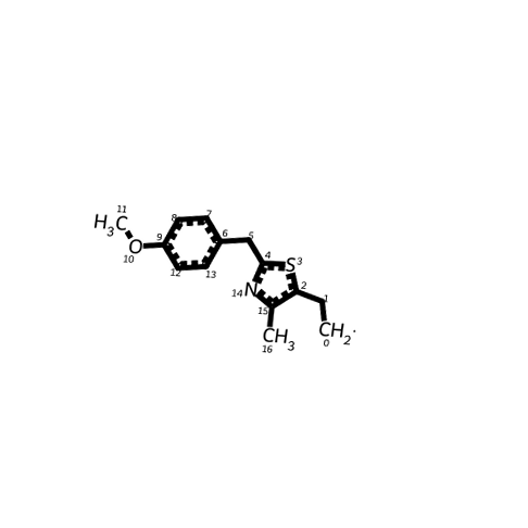 [CH2]Cc1sc(Cc2ccc(OC)cc2)nc1C